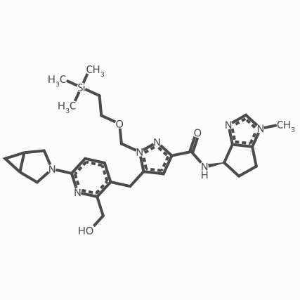 Cn1cnc2c1CC[C@H]2NC(=O)c1cc(Cc2ccc(N3CC4CC4C3)nc2CO)n(COCC[Si](C)(C)C)n1